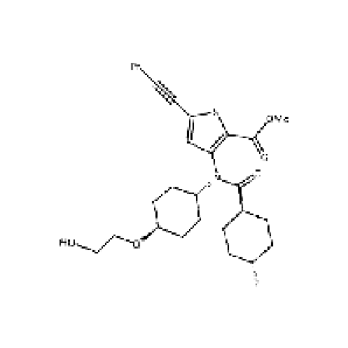 COC(=O)c1sc(C#CC(C)C)cc1N(C(=O)[C@H]1CC[C@H](C)CC1)[C@H]1CC[C@H](OCCO)CC1